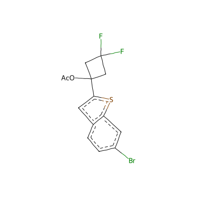 CC(=O)OC1(c2cc3ccc(Br)cc3s2)CC(F)(F)C1